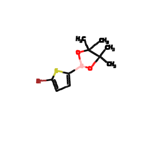 CC1(C)OB(c2ccc(Br)s2)OC1(C)C